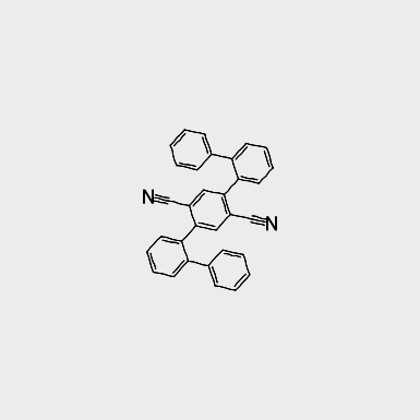 N#Cc1cc(-c2ccccc2-c2ccccc2)c(C#N)cc1-c1ccccc1-c1ccccc1